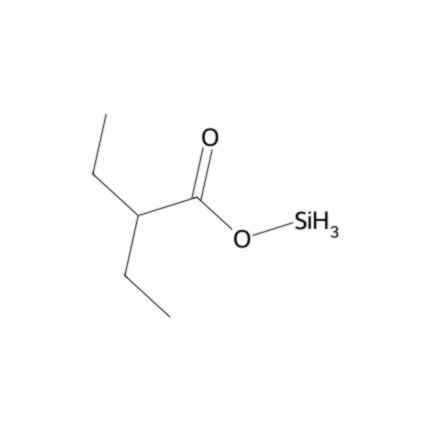 CCC(CC)C(=O)O[SiH3]